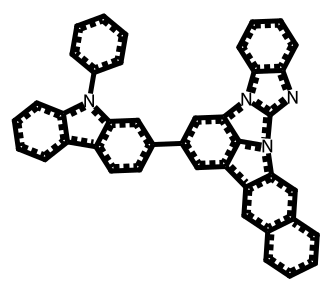 c1ccc(-n2c3ccccc3c3ccc(-c4cc5c6cc7ccccc7cc6n6c5c(c4)n4c5ccccc5nc46)cc32)cc1